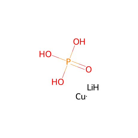 O=P(O)(O)O.[Cu].[LiH]